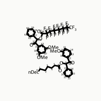 CCCCCCCCCCCCCCCC(=O)OC(C(=O)c1cccc(OC)c1)c1ccccc1.COc1cc(OC)cc(C(=O)C(OC(=O)C(F)(F)C(F)(F)C(F)(F)C(F)(F)C(F)(F)C(F)(F)C(F)(F)F)c2ccccc2)c1